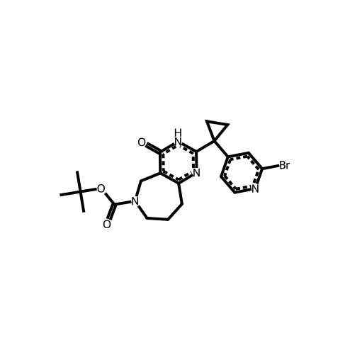 CC(C)(C)OC(=O)N1CCCc2nc(C3(c4ccnc(Br)c4)CC3)[nH]c(=O)c2C1